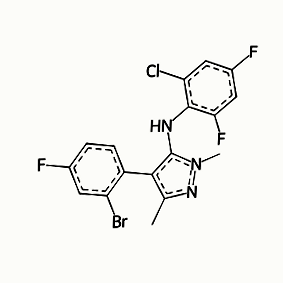 Cc1nn(C)c(Nc2c(F)cc(F)cc2Cl)c1-c1ccc(F)cc1Br